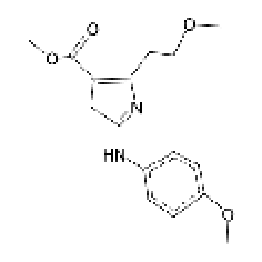 COCCC1=C(C(=O)OC)CC(Nc2ccc(OC)cc2)=N1